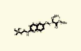 CC(C)(C)OC(=O)[C@H](COc1ccc2nc(NCC[N+](C)(C)C)ccc2c1)ON